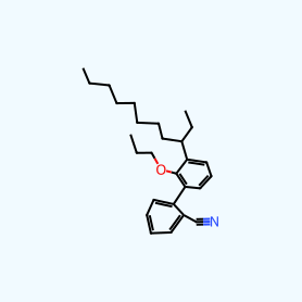 CCCCCCCCC(CC)c1cccc(-c2ccccc2C#N)c1OCCC